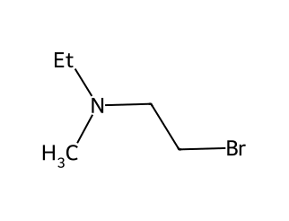 CCN(C)CCBr